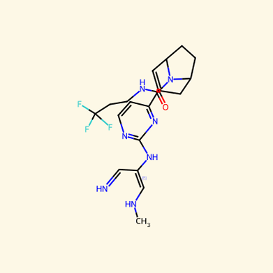 CN/C=C(\C=N)Nc1nccc(C2=CC3CCC(C2)N3C(=O)NCCC(F)(F)F)n1